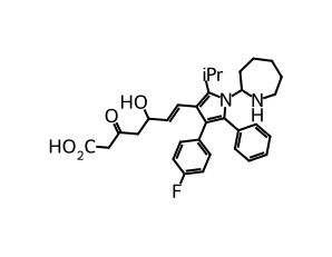 CC(C)c1c(C=CC(O)CC(=O)CC(=O)O)c(-c2ccc(F)cc2)c(-c2ccccc2)n1C1CCCCCN1